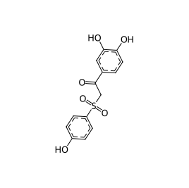 O=C(CS(=O)(=O)c1ccc(O)cc1)c1ccc(O)c(O)c1